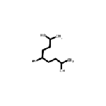 CC(O)CCC(CCC(C)O)C(C)C